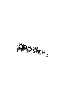 C=CC1CCC(C2CCC(COC3CCCC(F)C3F)CC2)CC1